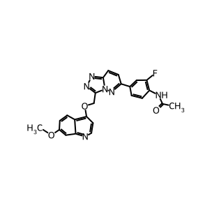 COc1ccc2c(OCc3nnc4ccc(-c5ccc(NC(C)=O)c(F)c5)nn34)ccnc2c1